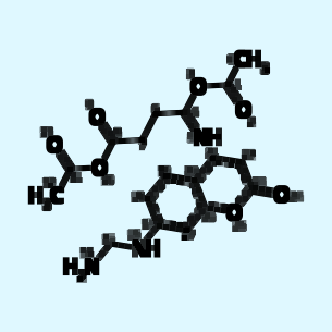 CC(=O)OC(=N)CCC(=O)OC(C)=O.NCNc1ccc2ccc(=O)oc2c1